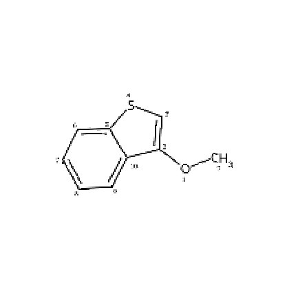 COc1csc2c[c]ccc12